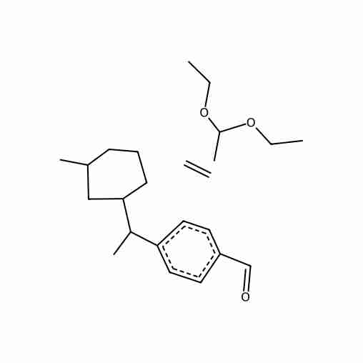 C=C.CC1CCCC(C(C)c2ccc(C=O)cc2)C1.CCOC(C)OCC